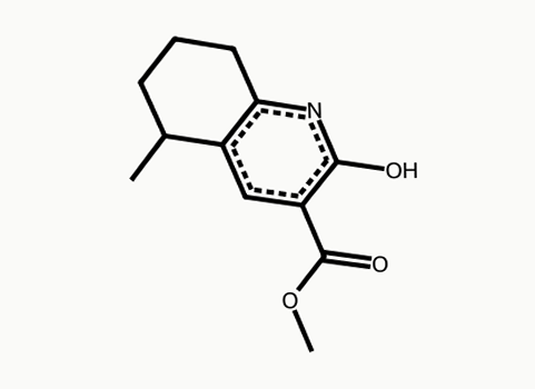 COC(=O)c1cc2c(nc1O)CCCC2C